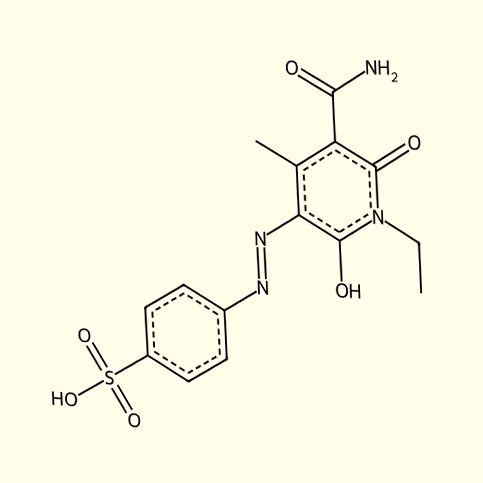 CCn1c(O)c(/N=N/c2ccc(S(=O)(=O)O)cc2)c(C)c(C(N)=O)c1=O